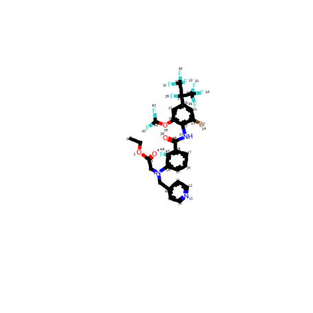 CCOC(=O)CN(Cc1ccncc1)c1cccc(C(=O)Nc2c(Br)cc(C(F)(C(F)(F)F)C(F)(F)F)cc2OC(F)F)c1F